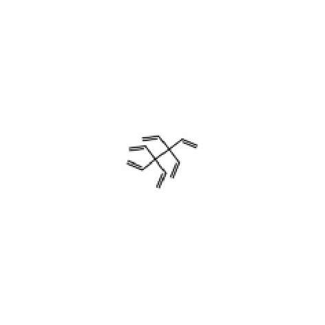 C=CC(C=C)(C=C)C(C=C)(C=C)C=C